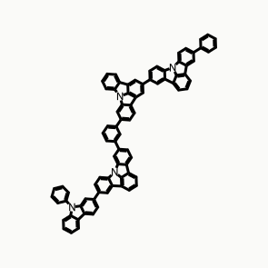 c1ccc(-c2ccc3c(c2)c2cccc4c5cc(-c6cc7c8ccccc8n8c9cc(-c%10cccc(-c%11ccc%12c%13cccc%14c%15cc(-c%16ccc%17c%18ccccc%18n(-c%18ccccc%18)c%17c%16)ccc%15n(c%12c%11)c%14%13)c%10)ccc9c(c6)c78)ccc5n3c24)cc1